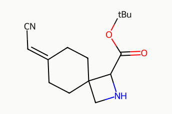 CC(C)(C)OC(=O)C1NCC12CCC(=CC#N)CC2